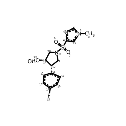 Cn1cnc(S(=O)(=O)N2C[C@H](c3ccc(F)cc3)[C@@H](C=O)C2)c1